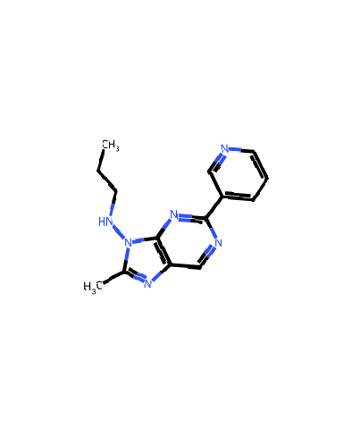 CCCNn1c(C)nc2cnc(-c3cccnc3)nc21